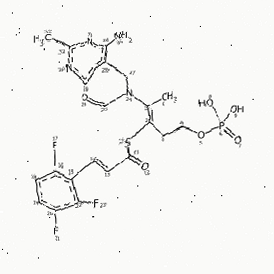 C/C(=C(\CCOP(=O)(O)O)SC(=O)/C=C/c1c(F)ccc(F)c1F)N(C=O)Cc1cnc(C)nc1N